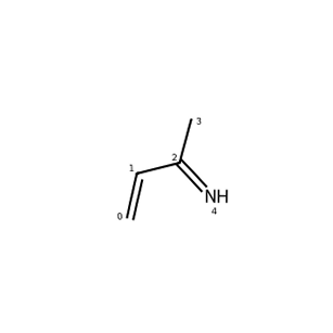 C=CC(C)=N